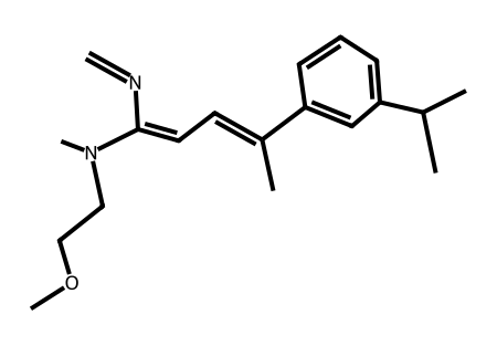 C=N/C(=C\C=C(/C)c1cccc(C(C)C)c1)N(C)CCOC